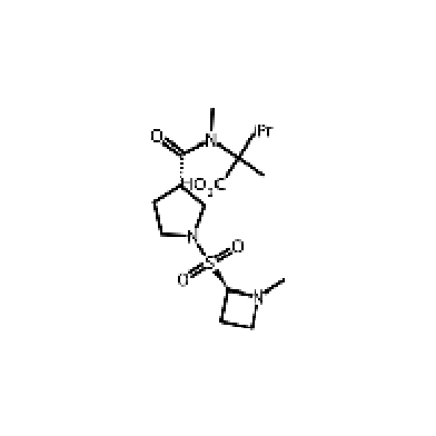 CC(C)C(C)(C(=O)O)N(C)C(=O)[C@H]1CCN(S(=O)(=O)[C@@H]2CCN2C)C1